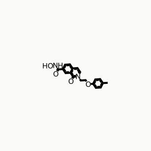 Cc1ccc(OCCn2ccc3ccc(C(=O)NO)cc3c2=O)cc1